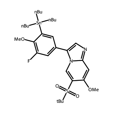 CCC[CH2][Sn]([CH2]CCC)([CH2]CCC)[c]1cc(-c2cnc3cc(OC)c(S(=O)(=O)C(C)(C)C)cn23)cc(F)c1OC